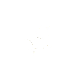 O=C(c1ccc(Cl)cc1)P(=O)(O)O.[NaH]